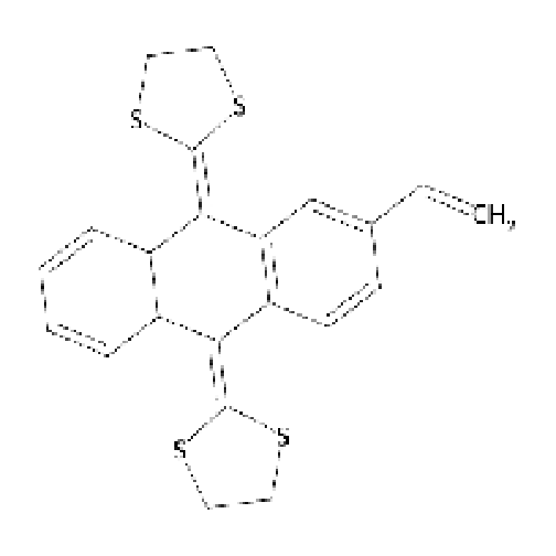 C=Cc1ccc2c(c1)C(=C1SCCS1)C1C=CC=CC1C2=C1SCCS1